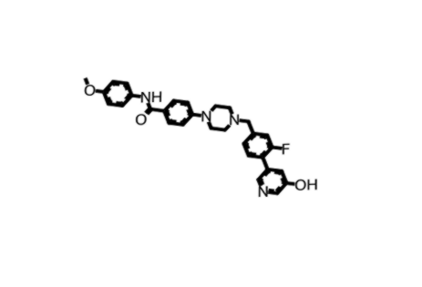 COc1ccc(NC(=O)c2ccc(N3CCN(Cc4ccc(-c5cncc(O)c5)c(F)c4)CC3)cc2)cc1